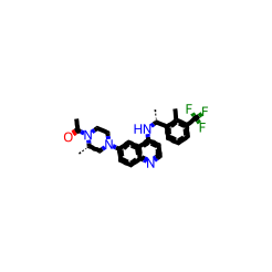 CC(=O)N1CCN(c2ccc3nccc(N[C@H](C)c4cccc(C(F)(F)F)c4C)c3c2)C[C@@H]1C